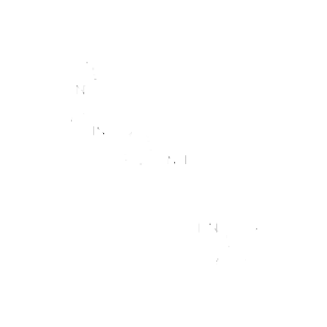 O=C1CCC(Nc2ccc(NCCCCNC34CC5CC(CC(C5)C3)C4)cc2)C(=O)N1